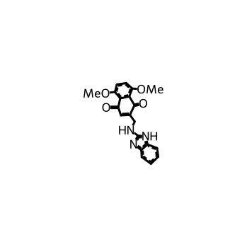 COc1ccc(OC)c2c1C(=O)C=C(CNc1nc3ccccc3[nH]1)C2=O